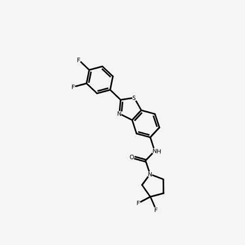 O=C(Nc1ccc2sc(-c3ccc(F)c(F)c3)nc2c1)N1CCC(F)(F)C1